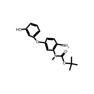 CN(C(=O)OC(C)(C)C)c1cc(Oc2cccc(O)c2)ccc1N